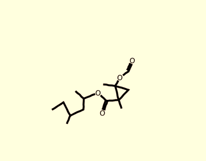 CCC(C)CC(C)OC(=O)C1(C)CC1(C)OC=O